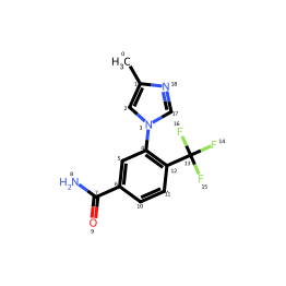 Cc1cn(-c2cc(C(N)=O)c[c]c2C(F)(F)F)cn1